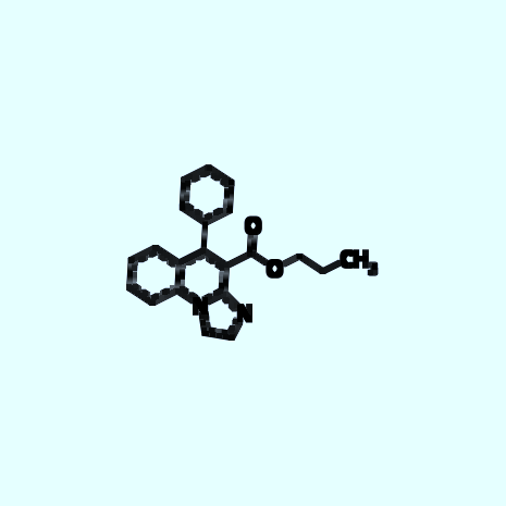 CCCOC(=O)c1c(-c2ccccc2)c2ccccc2n2ccnc12